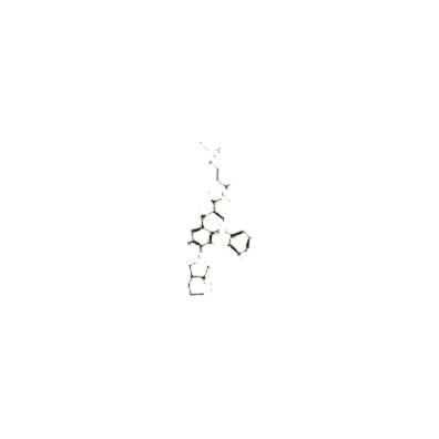 CCN(CC)CCCC(C)NC(=O)c1cn2c3c(c(N4CC5CCCNC5C4)c(F)cc3c1=O)Oc1ccccc1-2